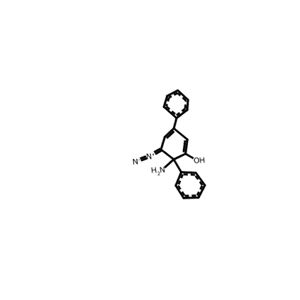 [N-]=[N+]=C1C=C(c2ccccc2)C=C(O)C1(N)c1ccccc1